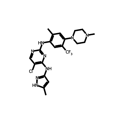 Cc1cc(Nc2nc(Nc3cc(C(F)(F)F)c(N4CCN(C)CC4)cc3C)ncc2Cl)n[nH]1